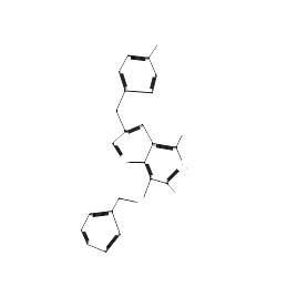 O=C(O)c1nc(I)c2cc(Cc3ccc(F)cc3)cnc2c1OCc1ccccc1